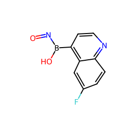 O=NB(O)c1ccnc2ccc(F)cc12